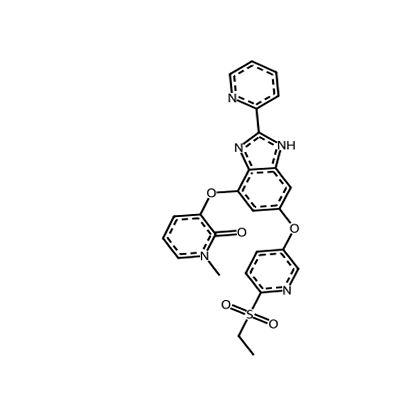 CCS(=O)(=O)c1ccc(Oc2cc(Oc3cccn(C)c3=O)c3nc(-c4ccccn4)[nH]c3c2)cn1